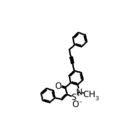 CN1c2ccc(C#CCc3ccccc3)cc2C(=O)/C(=C\c2ccccc2)[S+]1[O-]